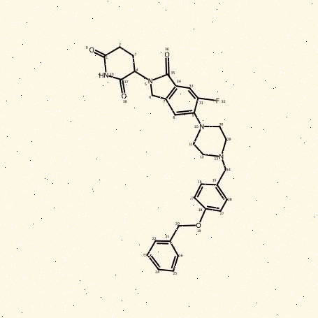 O=C1CCC(N2Cc3cc(N4CCN(Cc5ccc(OCc6ccccc6)cc5)CC4)c(F)cc3C2=O)C(=O)N1